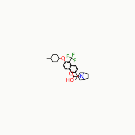 CC1CCC(Oc2ccc3cc(C(C)N4C5CCC4CC(C(=O)O)C5)ccc3c2C(F)(F)F)CC1